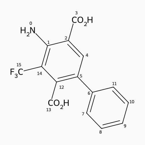 Nc1c(C(=O)O)cc(-c2ccccc2)c(C(=O)O)c1C(F)(F)F